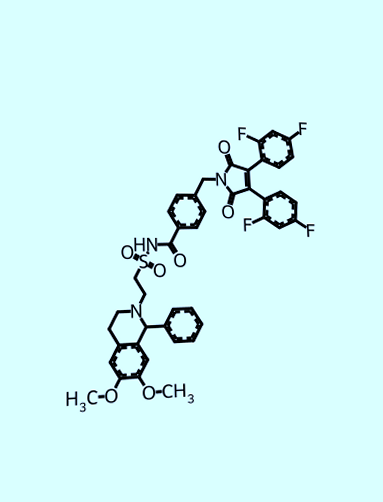 COc1cc2c(cc1OC)C(c1ccccc1)N(CCS(=O)(=O)NC(=O)c1ccc(CN3C(=O)C(c4ccc(F)cc4F)=C(c4ccc(F)cc4F)C3=O)cc1)CC2